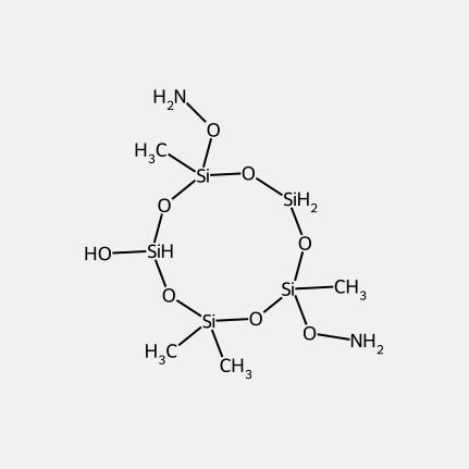 C[Si]1(C)O[SiH](O)O[Si](C)(ON)O[SiH2]O[Si](C)(ON)O1